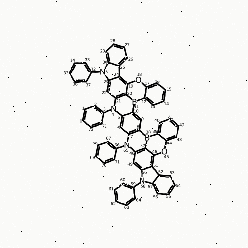 c1ccc(N2c3cc4c(cc3B3c5ccccc5Oc5c3c2cc2c5c3ccccc3n2-c2ccccc2)B2c3ccccc3Oc3c2c(cc2c3c3ccccc3n2-c2ccccc2)N4c2ccccc2)cc1